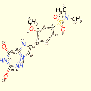 COc1cc(S(=O)(=O)N(C)C)ccc1-c1cn2[nH]c(=O)[nH]c(=O)c2n1